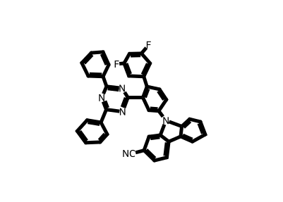 N#Cc1ccc2c3ccccc3n(-c3ccc(-c4cc(F)cc(F)c4)c(-c4nc(-c5ccccc5)nc(-c5ccccc5)n4)c3)c2c1